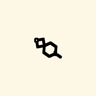 CB1CCC2(CC1)COC2